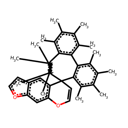 Cc1c(C)c(C)c2c(c1C)-c1c(C)c(C)c(C)c(C)c1C1(C=COc3cc4occc4cc31)c1c(C)c(C)c(C)c(C)c1-2